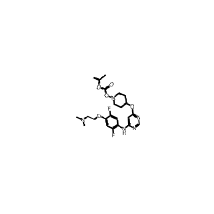 CC(C)OC(=O)ON1CCC(Oc2cc(Nc3cc(F)c(OCCN(C)C)cc3F)ncn2)CC1